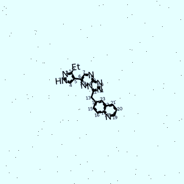 CCc1n[nH]cc1-c1cnc2nnc(Cc3ccc4ncccc4c3)n2n1